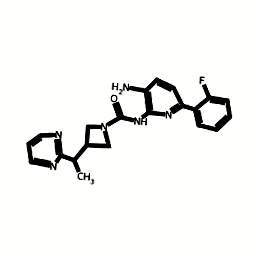 CC(c1ncccn1)C1CN(C(=O)Nc2nc(-c3ccccc3F)ccc2N)C1